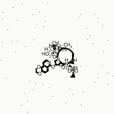 CC[C@@H]1C[C@H](C)CCC=C[C@@H]2C[C@@]2(C(=O)NS(=O)(=O)C2CC2)NC(=O)[C@@H]2C[C@@H](Oc3nccc4c5c(ccc34)OCCO5)CN2C(=O)[C@H]1N(C(=O)O)C(C)(C)C(C)(F)F